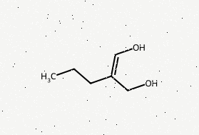 CCCC(=CO)CO